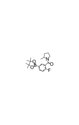 CC1CCCN1C(=O)c1cc(B2OC(C)(C)C(C)(C)O2)ccc1F